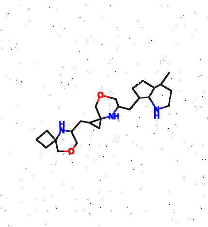 CC1CCNC2C(CC3COCC4(CC4CC4COCC5(CCC5)N4)N3)CCC12